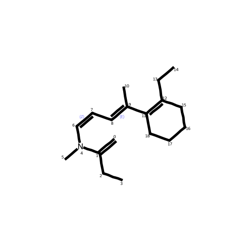 C=C(CC)N(C)/C=C\C=C(/C)C1=C(CC)CCCC1